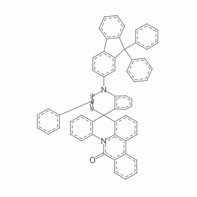 O=c1c2ccccc2c2cccc3c2n1-c1ccccc1C31c2ccccc2N(c2ccc3c(c2)C(c2ccccc2)(c2ccccc2)c2ccccc2-3)c2ccc(-c3ccccc3)cc21